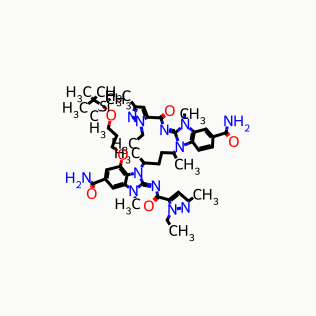 CCn1nc(C)cc1C(=O)/N=c1\n(C)c2cc(C(N)=O)ccc2n1C(C)CCC(C)n1/c(=N/C(=O)c2cc(C)nn2CC)n(C)c2cc(C(N)=O)cc(OCCCO[Si](C)(C)C(C)(C)C)c21